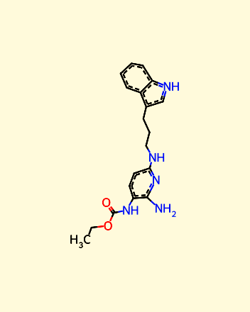 CCOC(=O)Nc1ccc(NCCCc2c[nH]c3ccccc23)nc1N